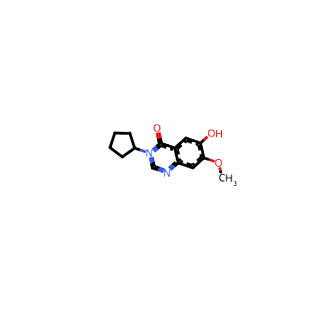 COc1cc2ncn(C3CCCC3)c(=O)c2cc1O